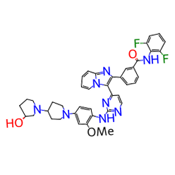 COc1cc(N2CCC(N3CCC[C@H](O)C3)CC2)ccc1Nc1nccc(-c2c(-c3cccc(C(=O)Nc4c(F)cccc4F)c3)nc3ccccn23)n1